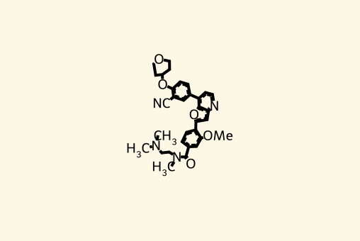 COc1cc(C(=O)N(C)CCN(C)C)ccc1-c1cc2nccc(-c3ccc(OC4CCOCC4)c(C#N)c3)c2o1